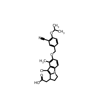 Cc1c(OCc2ccc(OC(C)C)c(C#N)c2)ccc2c1c(Cl)c1n2CCC1CC(=O)O